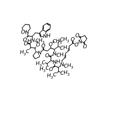 CCC(C)C(C(CC(=O)N1CCC[C@H]1C(OC)C(C)C(=O)NC(Cc1c[nH]c2ccccc12)C(=O)N1CCCCO1)OC)N(C)C(=O)C(NC(=O)C(C(C)C)N(C)CCCCCC(=O)ON1C(=O)CCC1=O)C(C)C